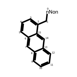 CCCCCCCCC[CH]c1cccc2cc3ccccc3cc12